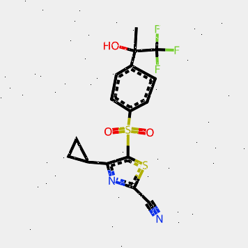 CC(O)(c1ccc(S(=O)(=O)c2sc(C#N)nc2C2CC2)cc1)C(F)(F)F